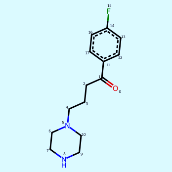 O=C(CCCN1CCNCC1)c1ccc(F)cc1